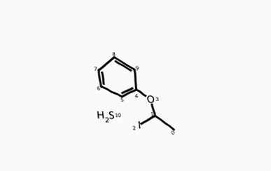 CC(I)Oc1ccccc1.S